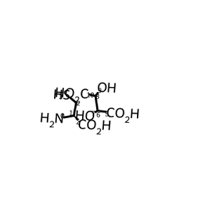 N[C@@H](CS)C(=O)O.O=C(O)C(O)C(O)C(=O)O